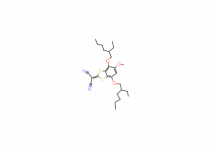 CCCCC(CC)COc1cc(OC)c(OCC(CC)CCCC)c2c1SC(=C(C#N)C#N)S2